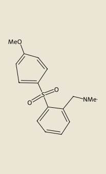 C[N]Cc1ccccc1S(=O)(=O)c1ccc(OC)cc1